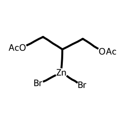 CC(=O)OC[CH](COC(C)=O)[Zn]([Br])[Br]